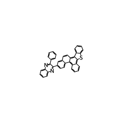 c1ccc(-c2nc3ccccc3nc2-c2ccc3c(ccc4c3c3ccccc3c3sc5ccccc5c43)c2)cc1